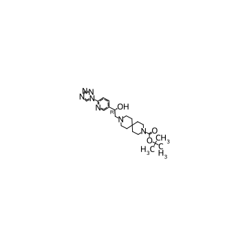 CC(C)(C)OC(=O)N1CCC2(CCN(C[C@H](O)c3ccc(-n4cnnn4)nc3)CC2)CC1